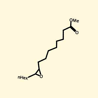 CCCCCCC1OC1CCCCCCCC(=O)OC